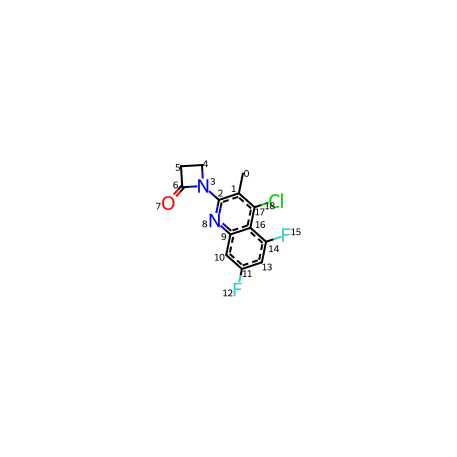 Cc1c(N2CCC2=O)nc2cc(F)cc(F)c2c1Cl